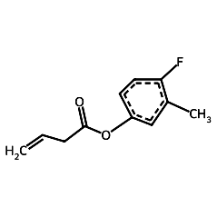 C=CCC(=O)Oc1ccc(F)c(C)c1